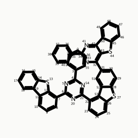 c1ccc(-c2nc(-c3cccc4c3sc3ccccc34)nc(-c3cccc4sc5ccc(-c6nc(-c7ccccc7)nc7c6sc6ccccc67)cc5c34)n2)cc1